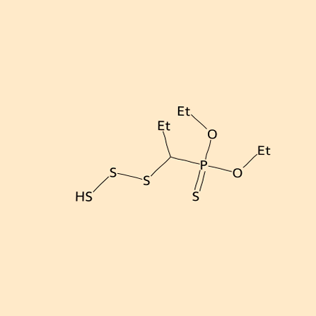 CCOP(=S)(OCC)C(CC)SSS